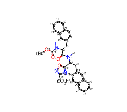 CN(C(=O)C(Cc1ccc2ccccc2c1)NC(=O)OC(C)(C)C)C(Cc1ccc2ccccc2c1)c1nc(C(=O)O)no1